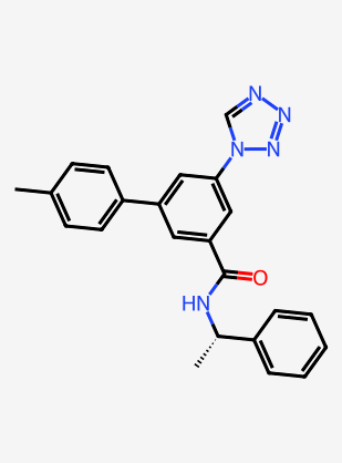 Cc1ccc(-c2cc(C(=O)N[C@@H](C)c3ccccc3)cc(-n3cnnn3)c2)cc1